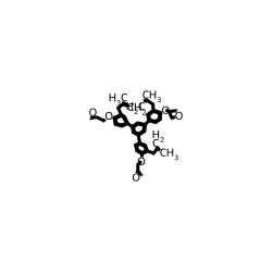 C=C(C)Cc1cc(-c2cc(-c3ccc(OCC4CO4)c(CC(=C)C)c3)cc(-c3ccc(OC4COC4)c(CC(=C)C)c3)c2)ccc1OCC1CO1